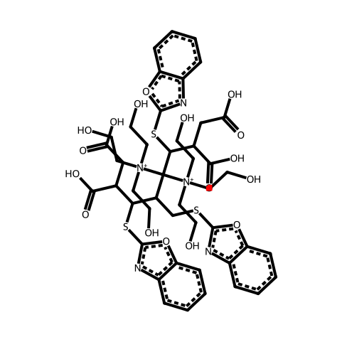 O=C(O)CC(C(=O)O)C(Sc1nc2ccccc2o1)C(CSc1nc2ccccc2o1)C(C(Sc1nc2ccccc2o1)C(CC(=O)O)C(=O)O)([N+](CCO)(CCO)CCO)[N+](CCO)(CCO)CCO